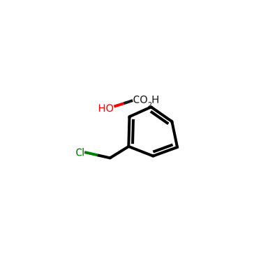 ClCc1ccccc1.O=C(O)O